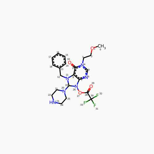 COCCn1cnc2c(c1=O)N(Cc1ccccc1)C(N1CCNCC1)N2OC(=O)C(F)(F)F